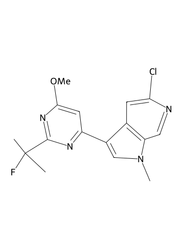 COc1cc(-c2cn(C)c3cnc(Cl)cc23)nc(C(C)(C)F)n1